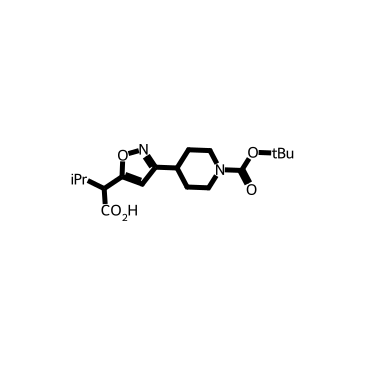 CC(C)C(C(=O)O)c1cc(C2CCN(C(=O)OC(C)(C)C)CC2)no1